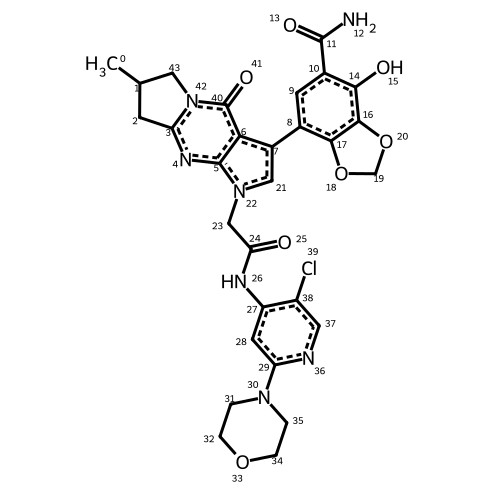 CC1Cc2nc3c(c(-c4cc(C(N)=O)c(O)c5c4OCO5)cn3CC(=O)Nc3cc(N4CCOCC4)ncc3Cl)c(=O)n2C1